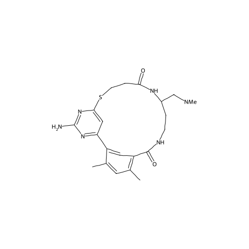 CNCC1CCNC(=O)c2cc(c(C)cc2C)-c2cc(nc(N)n2)SCCC(=O)N1